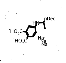 CCCCCCCCCCC(C)Nc1ccc(C(=O)O)c(C(=O)O)c1.[Na].[Na].[Na]